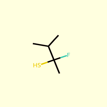 CC(C)C(C)(F)S